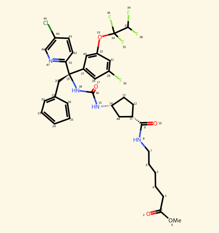 COC(=O)CCCCCNC(=O)[C@H]1CC[C@@H](NC(=O)N[C@@](Cc2ccccc2)(c2cc(F)cc(OC(F)(F)C(F)F)c2)c2ccc(Cl)cn2)C1